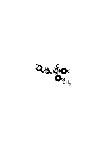 COc1cccc([C@H]2[C@H](Cc3cn(CC4CCOCC4)nn3)OC(=O)N2c2ccc(Cl)cc2)c1